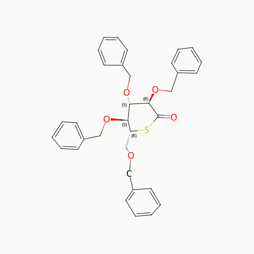 O=C1S[C@H](COCc2ccccc2)[C@@H](OCc2ccccc2)[C@H](OCc2ccccc2)[C@H]1OCc1ccccc1